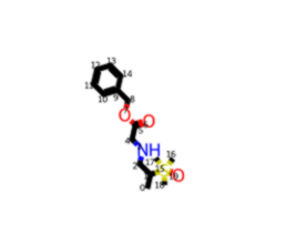 CC(CNCC(=O)OCc1ccccc1)S(C)(C)(C)=O